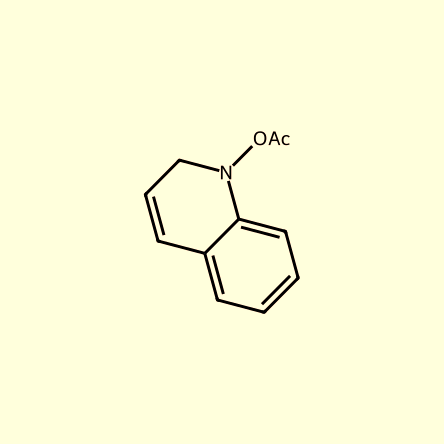 CC(=O)ON1CC=Cc2ccccc21